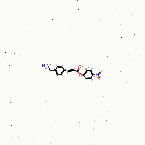 NCc1ccc(C#CC(=O)Oc2ccc([N+](=O)[O-])cc2)cc1